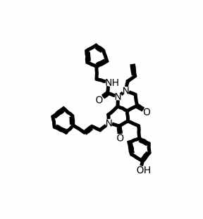 C=CCN1CC(=O)C2C(Cc3ccc(O)cc3)C(=O)N(CC=Cc3ccccc3)CC2N1C(=O)NCc1ccccc1